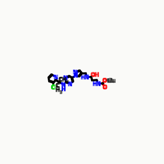 CC(C)(C)OC(=O)NCCC(O)NCc1cnn(-c2cnc(NC(C)(C)c3ncccc3Cl)nc2)c1